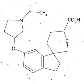 O=C(O)C1CCC2(CCc3ccc(OC4CCN(CC(F)(F)F)C4)cc32)CC1